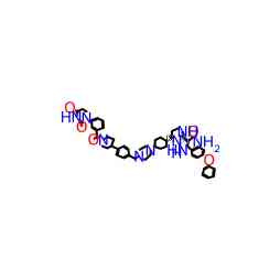 N=C(/C(C(N)=O)=C1/NCC[C@@H](C2CCC(N3CCN(Cc4ccc(C5CCN(C(=O)c6cccc(N7CCC(=O)NC7=O)c6)CC5)cc4)CC3)CC2)N1)c1ccc(Oc2ccccc2)cc1